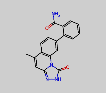 Cc1cc2n[nH]c(=O)n2c2cc(-c3ccccc3C(N)=O)ccc12